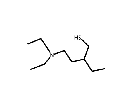 CCC(CS)CCN(CC)CC